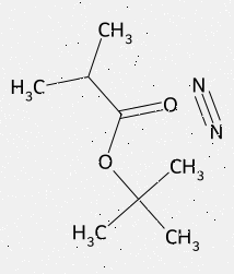 CC(C)C(=O)OC(C)(C)C.N#N